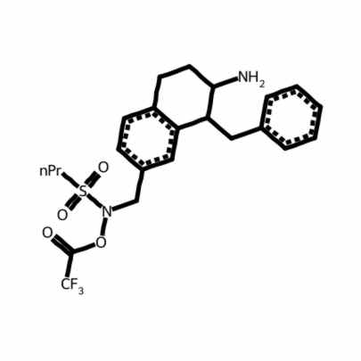 CCCS(=O)(=O)N(Cc1ccc2c(c1)C(Cc1ccccc1)C(N)CC2)OC(=O)C(F)(F)F